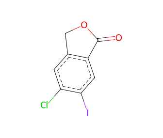 O=C1OCc2cc(Cl)c(I)cc21